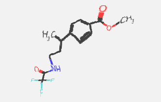 COC(=O)c1ccc(C(C)CCNC(=O)C(F)(F)F)cc1